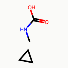 C1CC1.CNC(=O)O